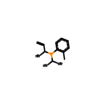 C=CC(CCC)P(c1ccccc1C)C(CCC)CCC